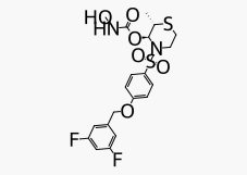 C[C@@H]1SCCN(S(=O)(=O)c2ccc(OCc3cc(F)cc(F)c3)cc2)[C@H]1OC(=O)NO